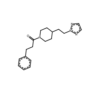 O=C(CCc1ccccc1)N1CCC(CCn2nccn2)CC1